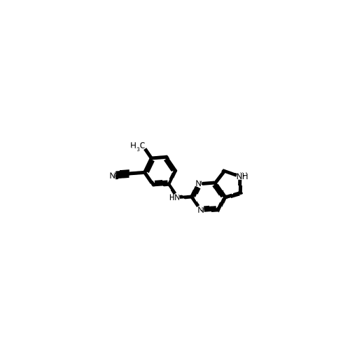 Cc1ccc(Nc2ncc3c(n2)CNC3)cc1C#N